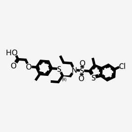 CCCN(C[C@@H](CC)Sc1ccc(OCC(=O)O)c(C)c1)S(=O)(=O)c1sc2ccc(Cl)cc2c1C